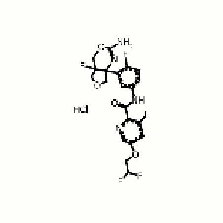 Cl.NC1=NC2(c3cc(NC(=O)c4ncc(OCC(F)F)cc4F)ccc3F)COCC2(F)CO1